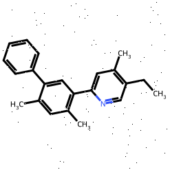 CCc1cnc(-c2cc(-c3ccccc3)c(C)cc2C)cc1C